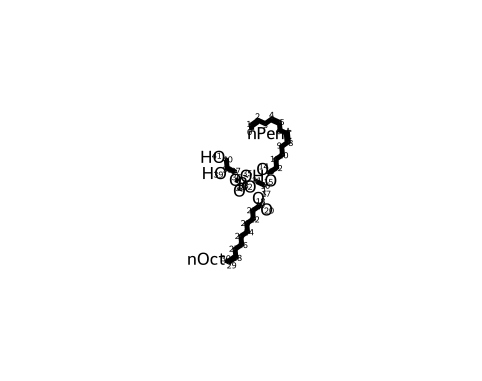 CCCCC/C=C\C/C=C\C/C=C\CCCCC(=O)O[C@H](COC(=O)CCCCCCC/C=C\CCCCCCCC)COP(=O)(O)OC[C@@H](O)CO